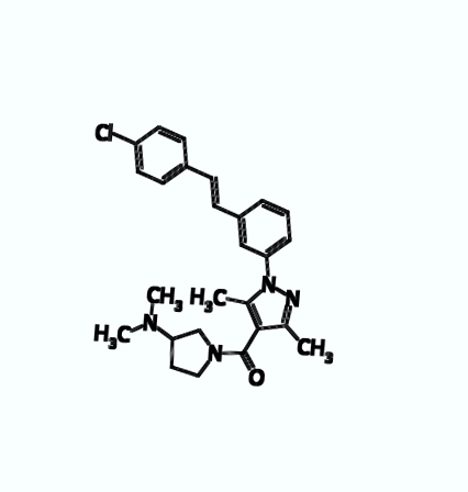 Cc1nn(-c2cccc(C=Cc3ccc(Cl)cc3)c2)c(C)c1C(=O)N1CCC(N(C)C)C1